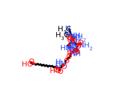 CCCC[C@H](NC(=O)[C@H](CN)NC(=O)[C@H](Cc1c[nH]cn1)NC(=O)[C@H](CCC(N)=O)NC(=O)[C@H](CO)NC(=O)CNC(=O)COCCOCCNC(=O)CC[C@H](NC(=O)CCCCCCCCCCCCCCCCC(=O)O)C(=O)O)C(=O)NC